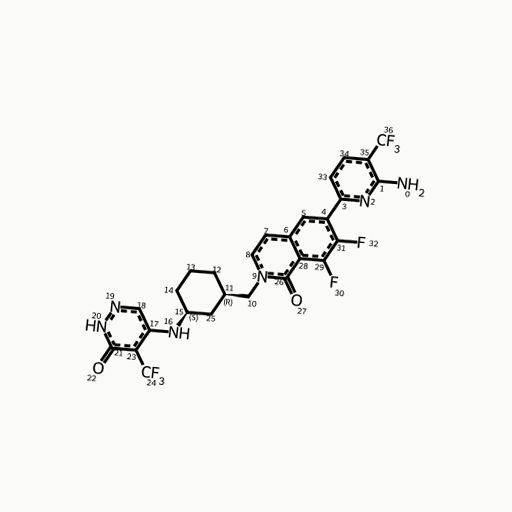 Nc1nc(-c2cc3ccn(C[C@@H]4CCC[C@H](Nc5cn[nH]c(=O)c5C(F)(F)F)C4)c(=O)c3c(F)c2F)ccc1C(F)(F)F